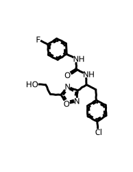 O=C(Nc1ccc(F)cc1)NC(Cc1ccc(Cl)cc1)c1noc(CCO)n1